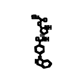 CC(C)(C)C(=O)OC1C[C@@H](NC(=O)c2ccc(-n3ncc4ccccc43)cc2)CN1